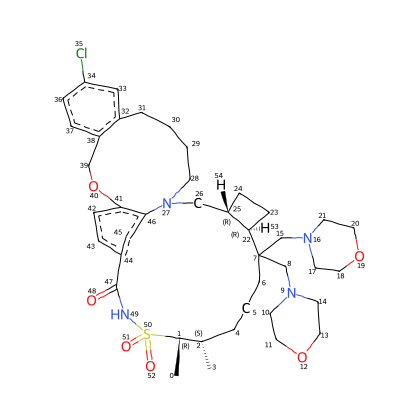 C[C@@H]1[C@@H](C)CCCC(CN2CCOCC2)(CN2CCOCC2)[C@@H]2CC[C@H]2CN2CCCCc3cc(Cl)ccc3COc3ccc(cc32)C(=O)NS1(=O)=O